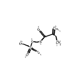 C=C(C)C(=O)SOS(=O)(=O)CC